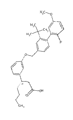 CCCC[C@@H](CC(=O)O)c1cccc(OCc2ccc(-c3cc(OC)ccc3F)c(C(C)(C)C)c2)c1